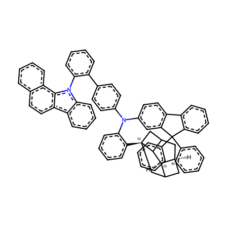 c1ccc(C2(c3ccccc3)c3ccccc3-c3ccc(N(c4ccc(-c5ccccc5-n5c6ccccc6c6ccc7ccccc7c65)cc4)c4ccccc4[C@]45CC6C[C@H]7CC(C4)[C@H]7C65)cc32)cc1